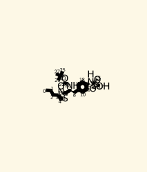 CCCc1csc([C@H](Cc2ccc(NS(=O)(=O)O)cc2)NC(=O)OC(C)(C)C)n1